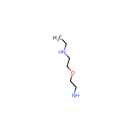 CCNCCOCC[NH]